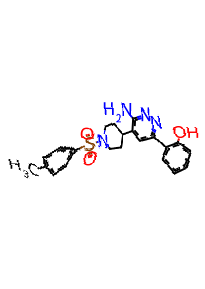 Cc1ccc(S(=O)(=O)N2CCC(c3cc(-c4ccccc4O)nnc3N)CC2)cc1